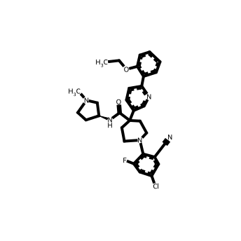 CCOc1ccccc1-c1ccc(C2(C(=O)N[C@H]3CCN(C)C3)CCN(c3c(F)cc(Cl)cc3C#N)CC2)cn1